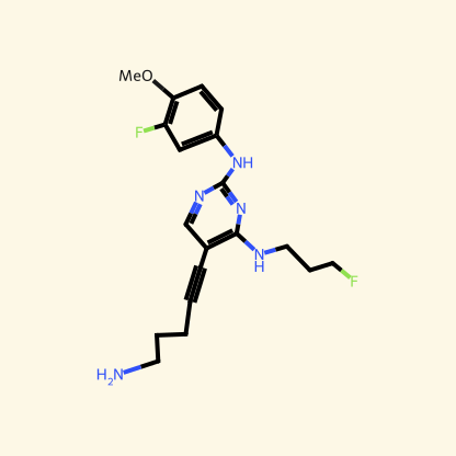 COc1ccc(Nc2ncc(C#CCCCN)c(NCCCF)n2)cc1F